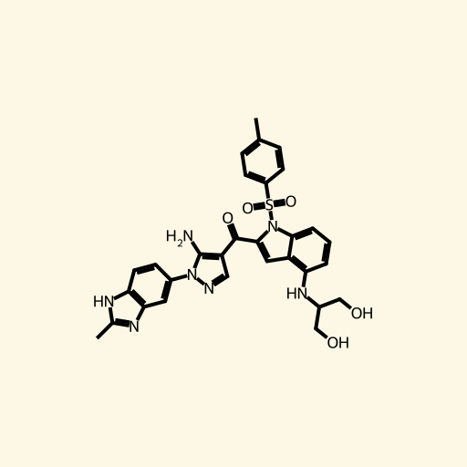 Cc1ccc(S(=O)(=O)n2c(C(=O)c3cnn(-c4ccc5[nH]c(C)nc5c4)c3N)cc3c(NC(CO)CO)cccc32)cc1